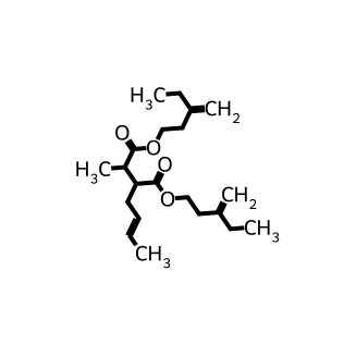 C=C(CC)CCOC(=O)C(C)C(CC=CC)C(=O)OCCC(=C)CC